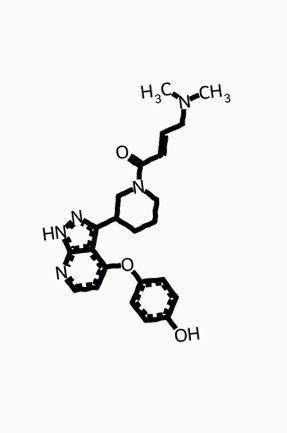 CN(C)C/C=C/C(=O)N1CCCC(c2n[nH]c3nccc(Oc4ccc(O)cc4)c23)C1